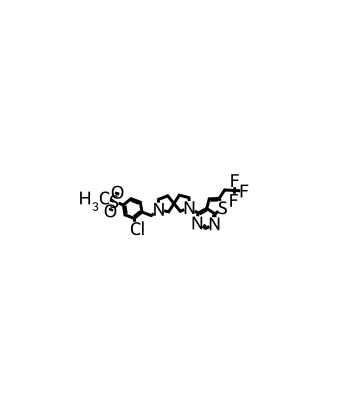 CS(=O)(=O)c1ccc(CN2CCC3(CCN(c4ncnc5sc(CC(F)(F)F)cc45)C3)C2)c(Cl)c1